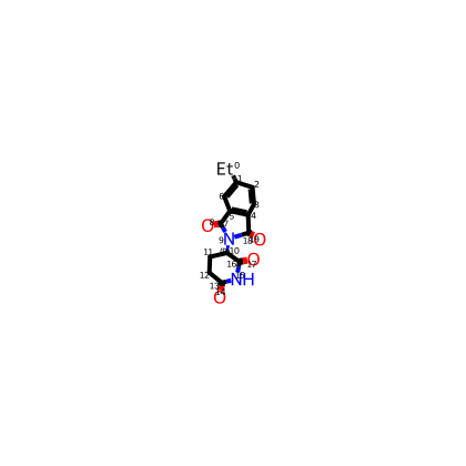 CCc1ccc2c(c1)C(=O)N([C@@H]1CCC(=O)NC1=O)C2=O